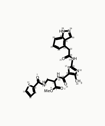 COC(=O)C(CNC(=O)c1cccs1)NC(=O)c1sc(NC(=O)Cc2cccc3[nH]ncc23)nc1C